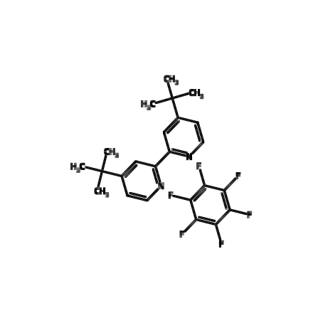 CC(C)(C)c1ccnc(-c2cc(C(C)(C)C)ccn2)c1.Fc1c(F)c(F)c(F)c(F)c1F